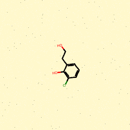 OCCc1cccc(Cl)c1O